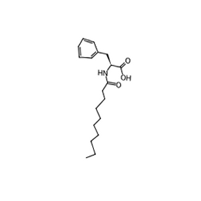 CCCCCCCCCC(=O)N[C@@H](Cc1ccccc1)C(=O)O